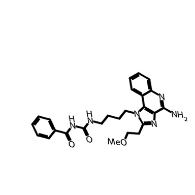 COCCc1nc2c(N)nc3ccccc3c2n1CCCCNC(=O)NC(=O)c1ccccc1